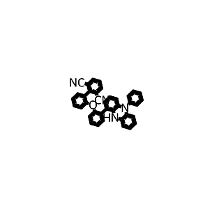 N#Cc1cccc(C#N)c1-c1ccccc1Oc1ccccc1-c1cccc2c1Nc1ccccc1N2c1ccccc1